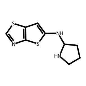 c1nc2sc(NC3CCCN3)cc2s1